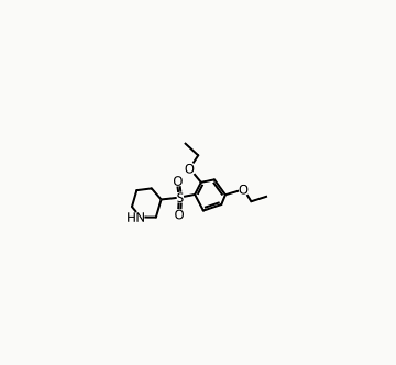 CCOc1ccc(S(=O)(=O)C2CCCNC2)c(OCC)c1